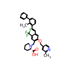 Cc1cc(COc2cc(/C=C/c3cccc(-c4ccccc4)c3C)c(C(F)(F)F)cc2CN2CCCC[C@H]2C(=O)O)ccn1